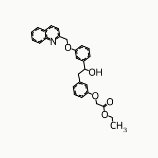 CCOC(=O)COc1cccc(CC(O)c2cccc(OCc3ccc4ccccc4n3)c2)c1